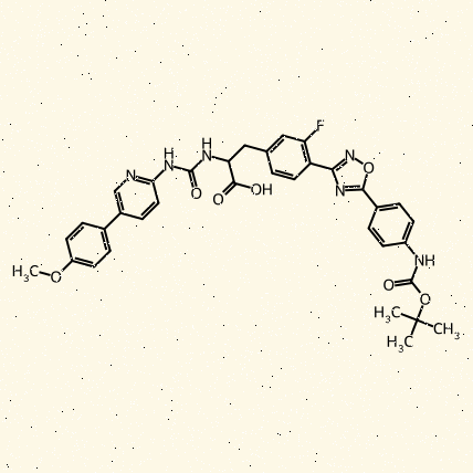 COc1ccc(-c2ccc(NC(=O)NC(Cc3ccc(-c4noc(-c5ccc(NC(=O)OC(C)(C)C)cc5)n4)c(F)c3)C(=O)O)nc2)cc1